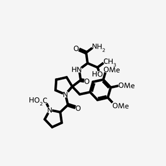 COc1cc(CC2(C(=O)NC(C(N)=O)C(C)O)CCCN2C(=O)C2CCCN2C(=O)O)cc(OC)c1OC